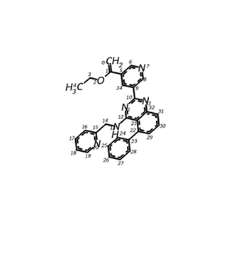 C=C(OCC)c1cncc(-c2nc(NCc3ccccn3)c3c(-c4ccccc4)cccc3n2)c1